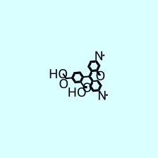 C/N=c1/ccc2c(-c3ccc(C(=O)O)cc3C(=O)O)c3ccc(N(C)C)cc3oc-2c1